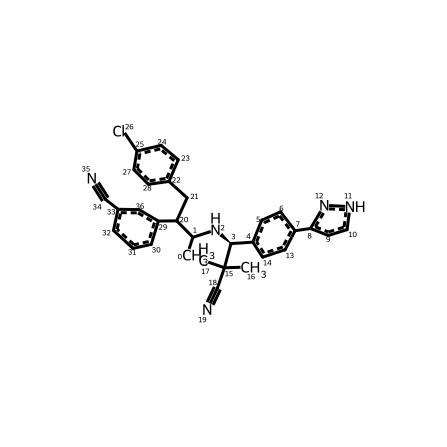 CC(N[C@@H](c1ccc(-c2cc[nH]n2)cc1)C(C)(C)C#N)C(Cc1ccc(Cl)cc1)c1cccc(C#N)c1